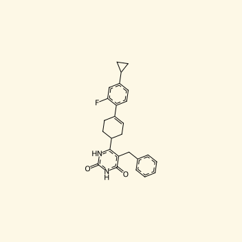 O=c1[nH]c(C2CC=C(c3ccc(C4CC4)cc3F)CC2)c(Cc2ccccc2)c(=O)[nH]1